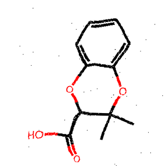 CC1(C)Oc2ccccc2OC1C(=O)O